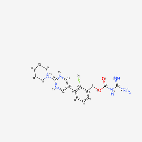 N=C(N)NC(=O)OCc1cccc(-c2cnc(N3CC[CH]CC3)nc2)c1F